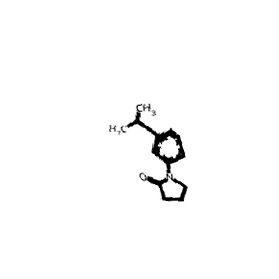 CC(C)c1cccc(N2CC[CH]C2=O)c1